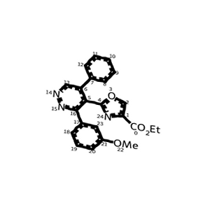 CCOC(=O)c1coc(-c2c(-c3ccccc3)cnnc2-c2cccc(OC)c2)n1